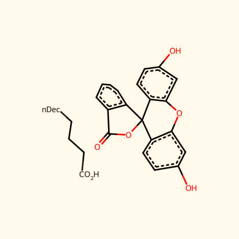 CCCCCCCCCCCCCC(=O)O.O=C1OC2(c3ccc(O)cc3Oc3cc(O)ccc32)c2ccccc21